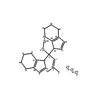 C[Si](C)=CC([O][Zr+3])(C1C=CC2=C1CCCC2)C1C=CC2=C1CCCC2.[Cl-].[Cl-].[Cl-]